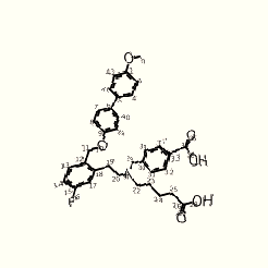 COc1ccc(-c2ccc(OCc3ccc(F)cc3CCN(CCCCC(=O)O)Cc3ccc(C(=O)O)cc3)cc2)cc1